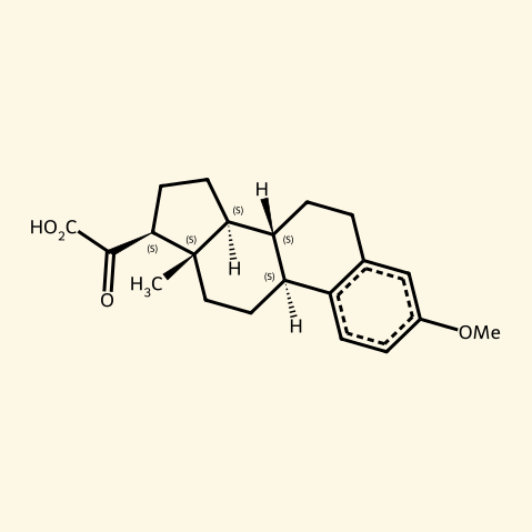 COc1ccc2c(c1)CC[C@@H]1[C@@H]2CC[C@]2(C)[C@@H](C(=O)C(=O)O)CC[C@@H]12